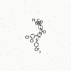 CS(=O)(=O)N1CCN(C(=O)N2C[C@H](CSc3ccc(C(F)(F)F)cc3)[C@@H](c3ccc(Cl)c(Cl)c3)C2)CC1